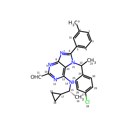 Cc1cccc(-c2nc3nc(C=O)nc(N[C@H](C)C4CC4)c3n2C(C)c2ccc(Cl)cc2)c1